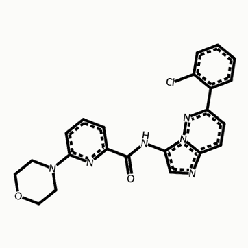 O=C(Nc1cnc2ccc(-c3ccccc3Cl)nn12)c1cccc(N2CCOCC2)n1